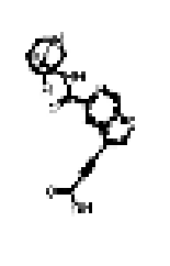 O=C(O)C#Cc1csc2cnc(C(=O)N[C@H]3CN4CCC3CC4)cc12